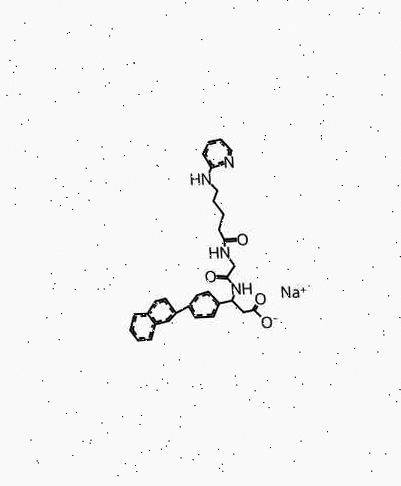 O=C([O-])CC(NC(=O)CNC(=O)CCCCNc1ccccn1)c1ccc(-c2ccc3ccccc3c2)cc1.[Na+]